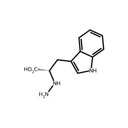 NN[C@@H](Cc1c[nH]c2ccccc12)C(=O)O